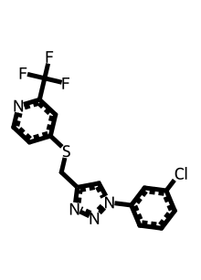 FC(F)(F)c1cc(SCc2cn(-c3cccc(Cl)c3)nn2)ccn1